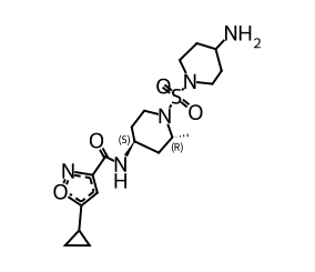 C[C@@H]1C[C@@H](NC(=O)c2cc(C3CC3)on2)CCN1S(=O)(=O)N1CCC(N)CC1